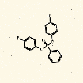 O=P(Oc1ccc(F)cc1)(Oc1ccc(F)cc1)c1ccccc1